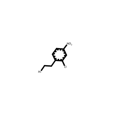 CC(=O)CCc1ccc([N+](=O)[O-])cc1Cl